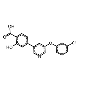 O=C(O)c1ccc(-c2cncc(Oc3cccc(Cl)c3)c2)cc1O